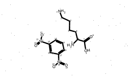 NCCCCC(N)C(=O)O.O=[N+]([O-])c1cccc([N+](=O)[O-])c1